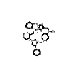 CCN(Cc1nnn(Cc2ccccc2)n1)C1CCN(C[C@H]2CN([C@@H]3CCCCC3CC(=O)O)C[C@@H]2c2ccccc2)CC1